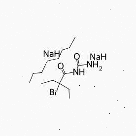 CCC(Br)(CC)C(=O)NC(N)=O.CCCCCCCC.[NaH].[NaH]